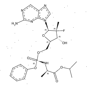 CC(C)OC(=O)[C@@H](C)N[P@@](=O)(OC[C@H]1O[C@@H](n2cnc3cnc(N)nc32)[C@](C)(F)[C@@H]1O)Oc1ccccc1